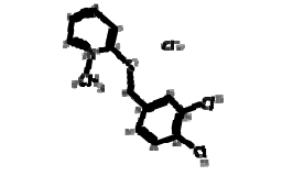 C[n+]1ccccc1SCc1ccc(Cl)c(Cl)c1.[Cl-]